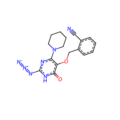 N#Cc1ccccc1COc1c(N2CCCCC2)nc(N=[N+]=[N-])[nH]c1=O